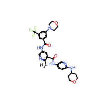 Cc1ncc(NC(=O)c2cc(N3CCOCC3)cc(C(F)(F)F)c2)cc1C(=O)Nc1ccc(NC2CCOCC2)nc1